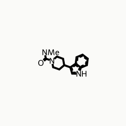 CNC(=O)N1CCC(c2c[nH]c3ccccc23)CC1